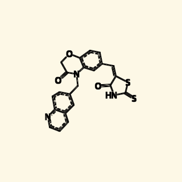 O=C1NC(=S)SC1=Cc1ccc2c(c1)N(Cc1ccc3ncccc3c1)C(=O)CO2